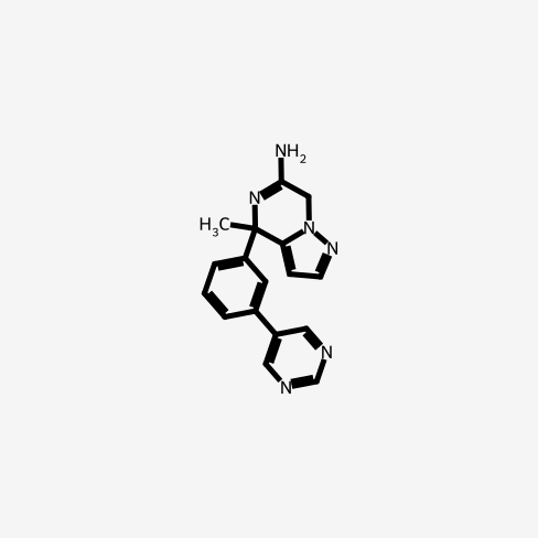 CC1(c2cccc(-c3cncnc3)c2)N=C(N)Cn2nccc21